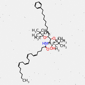 CCCCC/C=C\C/C=C\C/C=C\C/C=C\CCCC(=O)N[C@@H](CO)[C@H](O[Si](C)(C)C(C)(C)C)[C@H](CCCCCCCCCc1ccccc1)O[Si](C)(C)C(C)(C)C